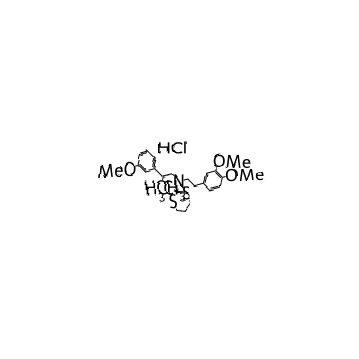 COc1cccc(C(C)CN(CCc2ccc(OC)c(OC)c2)C2(C)SCCCS2)c1.Cl